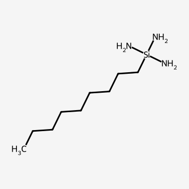 CCCCCCCCC[Si](N)(N)N